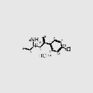 C=C(CN(N)CC)c1ccc(Cl)cc1.Cl